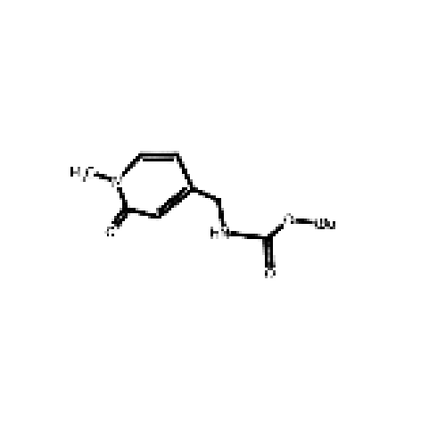 Cn1ccc(CNC(=O)OC(C)(C)C)cc1=O